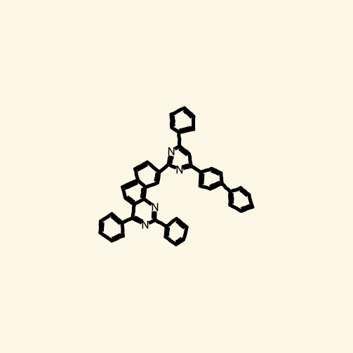 c1ccc(-c2ccc(-c3cc(-c4ccccc4)nc(-c4ccc5ccc6c(-c7ccccc7)nc(-c7ccccc7)nc6c5c4)n3)cc2)cc1